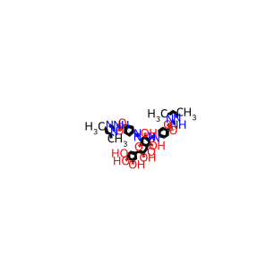 Cc1cc(C)nc(NS(=O)(=O)c2ccc(N=Nc3c(O)c(N=Nc4ccc(S(=O)(=O)Nc5nc(C)cc(C)n5)cc4)c4oc(-c5cc(O)c(O)c(O)c5)c(O)c(=O)c4c3O)cc2)n1